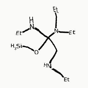 CCNCC(NCC)(O[SiH3])N(CC)CC